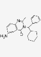 Cc1nc2ccc(N)cc2c(=O)n1C(c1ccccc1)C1CCCCC1